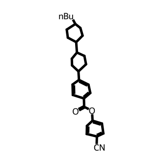 CCCCC1CCC(C2CCC(c3ccc(C(=O)Oc4ccc(C#N)cc4)cc3)CC2)CC1